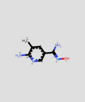 Cc1cc(/C(N)=N/O)cnc1N